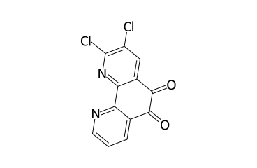 O=C1C(=O)c2cc(Cl)c(Cl)nc2-c2ncccc21